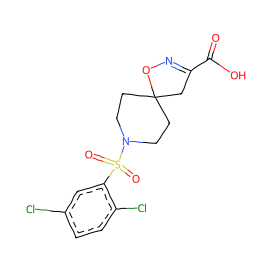 O=C(O)C1=NOC2(CCN(S(=O)(=O)c3cc(Cl)ccc3Cl)CC2)C1